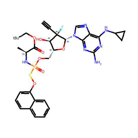 C#C[C@@]1(F)[C@H](O)[C@@H](COP(=O)(N[C@@H](C)C(=O)OCC(C)(C)C)SOc2cccc3ccccc23)O[C@H]1n1cnc2c(NC3CC3)nc(N)nc21